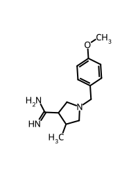 COc1ccc(CN2CC(C)C(C(=N)N)C2)cc1